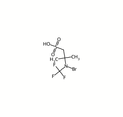 CC(C)(CS(=O)(=O)O)N(Br)C(F)(F)F